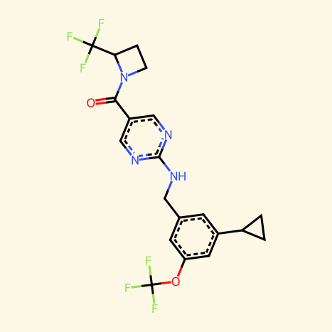 O=C(c1cnc(NCc2cc(OC(F)(F)F)cc(C3CC3)c2)nc1)N1CCC1C(F)(F)F